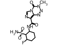 Cn1nnc2c(C(=O)NC3CCCC(F)C3S(N)(=O)=O)ncn2c1=O